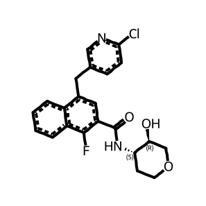 O=C(N[C@H]1CCOC[C@@H]1O)c1cc(Cc2ccc(Cl)nc2)c2ccccc2c1F